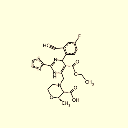 C#Cc1cc(F)ccc1C1N=C(c2nccs2)NC(CN2CCO[C@H](C)C2C(=O)O)=C1C(=O)OCC